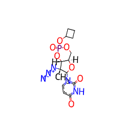 C[C@]1(N=[N+]=[N-])C(n2ccc(=O)[nH]c2=O)O[C@@H]2COP(=O)(OC3CCC3)O[C@H]21